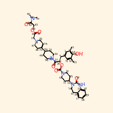 Cc1cc(C[C@@H](OC(=O)N2CCC(N3CCc4ccccc4NC3=O)CC2)C(=O)N2CCC(C3CCN(CC(=O)OCC(=O)N(C)C)CC3)CC2)cc(C)c1O